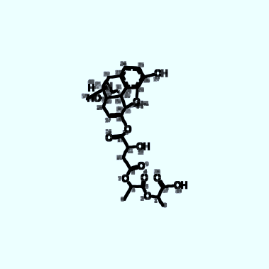 CC(OC(=O)C(C)OC(=O)CC(O)C(=O)OC1=CC[C@@]2(O)[C@H]3Cc4ccc(O)c5c4[C@@]2(CCN3C)[C@H]1O5)C(=O)O